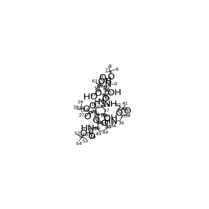 CN(C(=O)OC(C)(C)C)[C@@H]1[C@@H](O)[C@@H](ON(C(=O)O)C2(N)C[C@H](C(=O)OC(C)(C)C)[C@@H](O[C@H]3O[C@H](CNCC4COC(C)(C)O4)CC[C@H]3NC(=O)OC(C)(C)C)[C@@H](O)C2)OC[C@]1(C)O